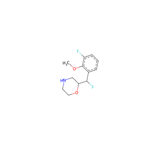 COc1c(F)cccc1C(F)C1CNCCO1